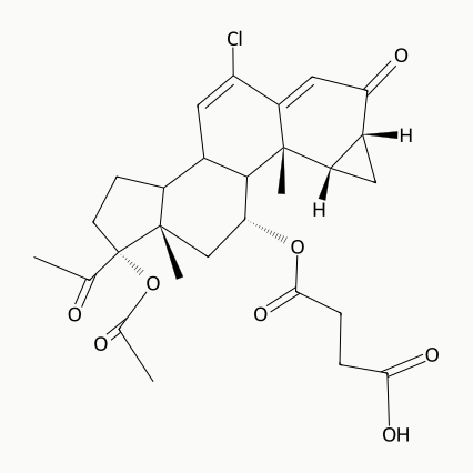 CC(=O)O[C@]1(C(C)=O)CCC2C3C=C(Cl)C4=CC(=O)[C@@H]5C[C@@H]5[C@]4(C)C3[C@H](OC(=O)CCC(=O)O)C[C@@]21C